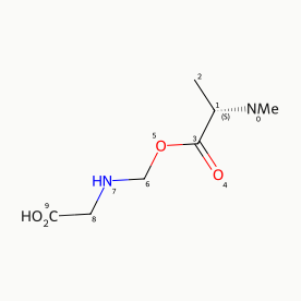 CN[C@@H](C)C(=O)OCNCC(=O)O